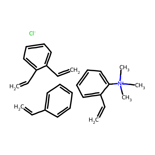 C=Cc1ccccc1.C=Cc1ccccc1C=C.C=Cc1ccccc1[N+](C)(C)C.[Cl-]